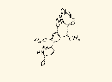 Cc1cc2c(cc1C1=NNC(=O)CC1)C(C)C(=O)N(C)O2